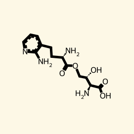 Nc1ncccc1CC[C@H](N)C(=O)OC[C@H](O)[C@H](N)C(=O)O